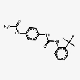 CC(=O)Nc1ccc(NC(=O)Nc2ccccc2C(F)(F)F)cc1